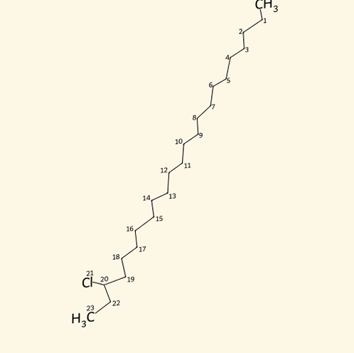 CCCCCCCCCCCCCCCCCCCCC(Cl)CC